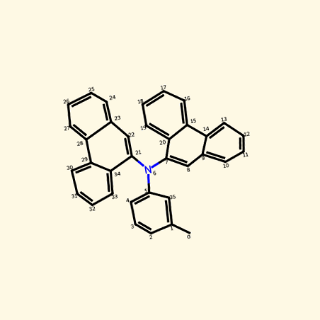 Cc1cccc(N(c2cc3ccccc3c3ccccc23)c2cc3ccccc3c3ccccc23)c1